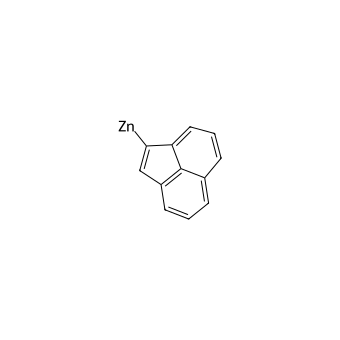 [Zn][C]1=Cc2cccc3cccc1c23